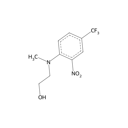 CN(CCO)c1ccc(C(F)(F)F)cc1[N+](=O)[O-]